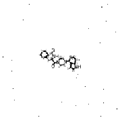 O=CNC(Cc1ccccn1)C(=O)N1CCN(c2cccc3[nH]ccc23)CC1